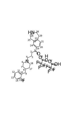 O=C(CCCN1CCC(Cc2ccccc2F)CC1)c1ccc2c(c1)CCNCC2.O=C(O)C(F)(F)F.O=C(O)C(F)(F)F